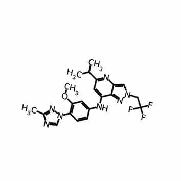 COc1cc(Nc2cc(C(C)C)nc3cn(CC(F)(F)F)nc23)ccc1-n1cnc(C)n1